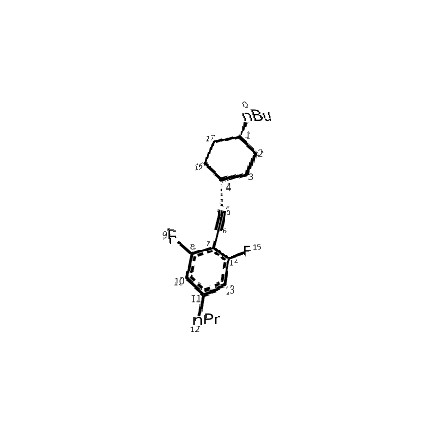 CCCC[C@H]1CC[C@H](C#Cc2c(F)cc(CCC)cc2F)CC1